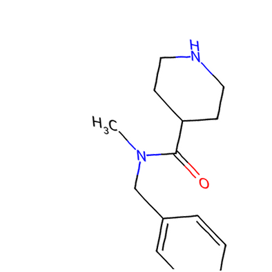 CN(CC1=C[CH]CC=C1)C(=O)C1CCNCC1